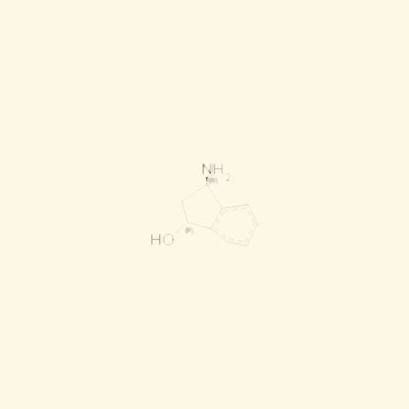 N[C@@H]1C[C@@H](O)c2ccccc21